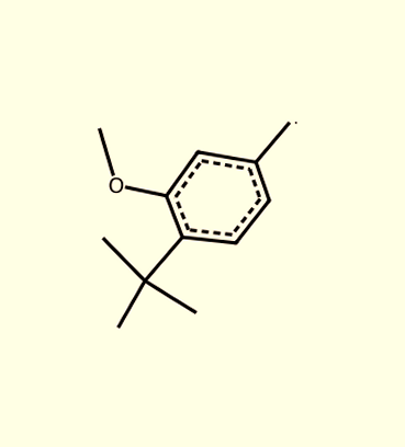 [CH2]c1ccc(C(C)(C)C)c(OC)c1